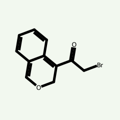 O=C(CBr)C1=c2ccccc2=COC1